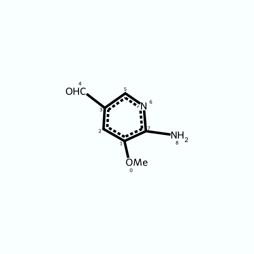 COc1cc(C=O)cnc1N